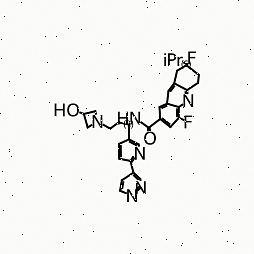 CC(C)[C@]1(F)CCc2nc3c(F)cc(C(=O)N[C@H](CCN4CC(O)C4)c4ccc(-c5ccnnc5)nc4)cc3cc2C1